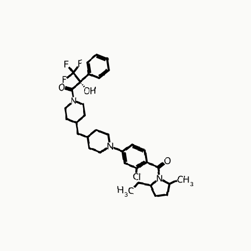 CCC1CCC(C)N1C(=O)c1ccc(N2CCC(CC3CCN(C(=O)[C@](O)(c4ccccc4)C(F)(F)F)CC3)CC2)cc1Cl